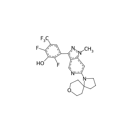 Cn1nc(-c2cc(C(F)(F)F)c(F)c(O)c2F)c2cnc(N3CCCC34CCOCC4)cc21